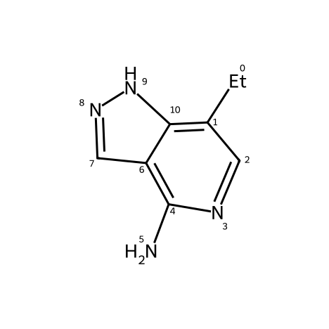 CCc1cnc(N)c2cn[nH]c12